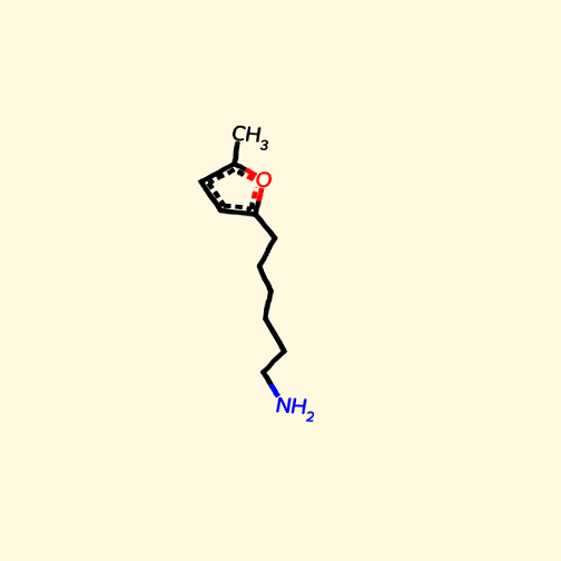 Cc1ccc(CCCCCCN)o1